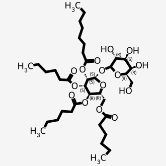 CCCCCCCC(=O)O[C@@H]1[C@H](OC2O[C@H](CO)[C@H](O)[C@H](O)[C@H]2O)O[C@H](COC(=O)CCCCC)[C@@H](OC(=O)CCCCC)[C@@H]1OC(=O)CCCCC